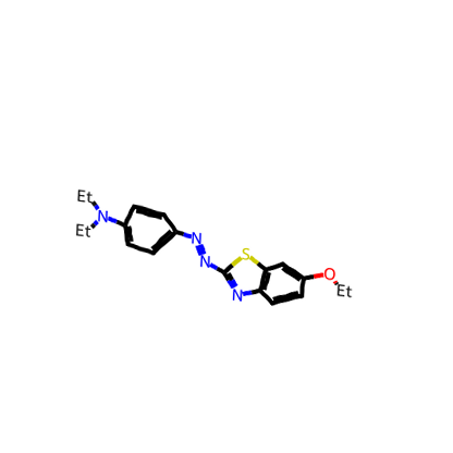 CCOc1ccc2nc(N=Nc3ccc(N(CC)CC)cc3)sc2c1